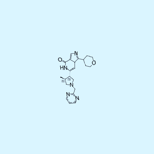 C[C@@H]1CN(Cc2ncccn2)C[C@H]1C1=CC2C(=CN=C2C2CCOCC2)C(=O)N1